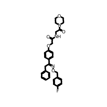 O=C(COc1ccc(C(Cc2ccccc2)=NOCc2ccc(F)cc2)cc1)NCC(=O)N1CCOCC1